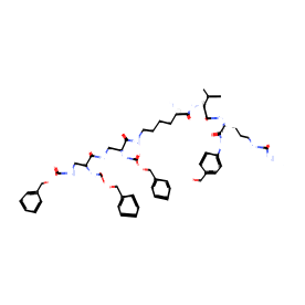 CC(C)[C@H](NC(=O)[C@@H](N)CCCCNC(=O)C(CNC(=O)C(CNC(=O)OCc1ccccc1)NC(=O)OCc1ccccc1)NC(=O)OCc1ccccc1)C(=O)N[C@@H](CCCNC(N)=O)C(=O)Nc1ccc(CO)cc1